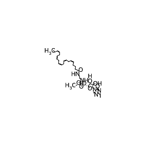 CC/C=C\C/C=C\C/C=C\C/C=C\C/C=C\CCCC(=O)NCCNP(=O)(OCC)OC[C@H]1OC(n2cnc(I)nc2=O)[C@H](O)[C@@H]1O